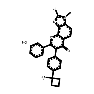 Cl.Cn1c(Cl)nc2c3oc(-c4ccccc4)c(-c4ccc(C5(N)CCC5)cc4)c(=O)c3ccc21